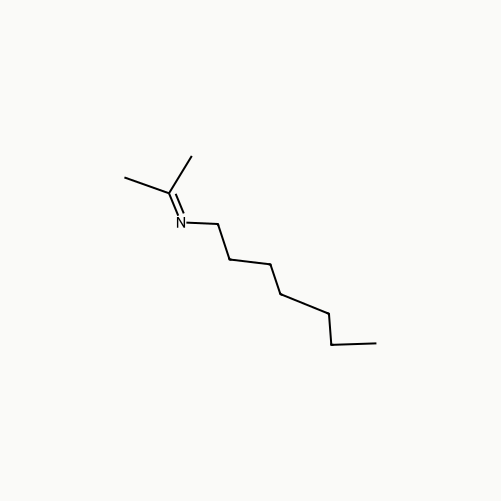 CCCCCCCN=C(C)C